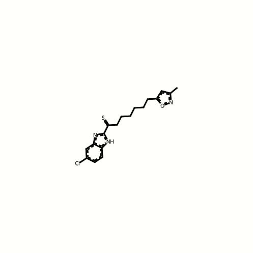 Cc1cc(CCCCCCC(=S)c2nc3cc(Cl)ccc3[nH]2)on1